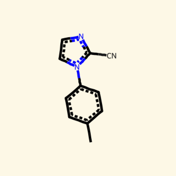 Cc1ccc(-n2ccnc2C#N)cc1